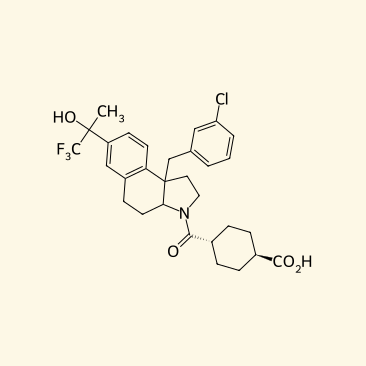 CC(O)(c1ccc2c(c1)CCC1N(C(=O)[C@H]3CC[C@H](C(=O)O)CC3)CCC21Cc1cccc(Cl)c1)C(F)(F)F